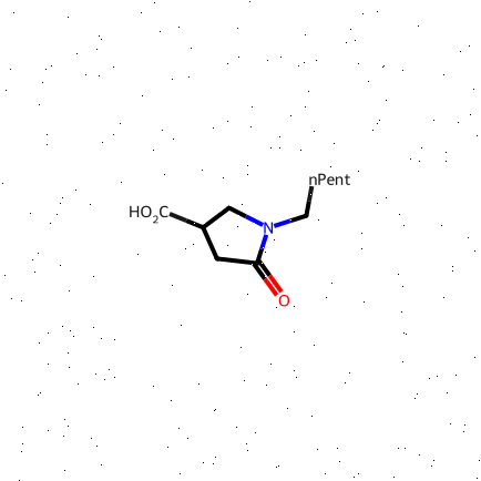 CCCCCCN1CC(C(=O)O)CC1=O